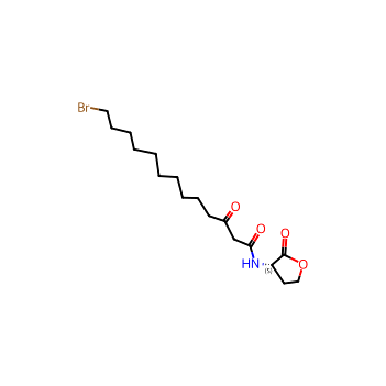 O=C(CCCCCCCCCCBr)CC(=O)N[C@H]1CCOC1=O